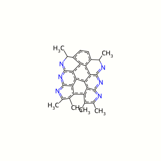 Cc1nc2nc3c4c5c(ccc6c5c5c(nc7nc(C)c(C)c8c(c1C)c2c4c5c78)=NC6C)C(C)N=3